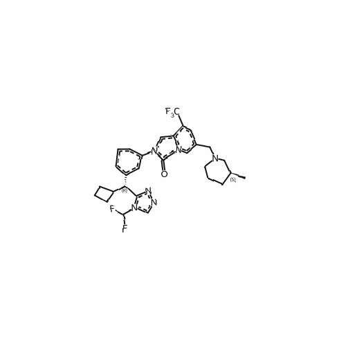 C[C@H]1CCCN(Cc2cc(C(F)(F)F)c3cn(-c4cccc([C@H](c5nncn5C(F)F)C5CCC5)c4)c(=O)n3c2)C1